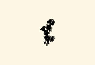 CC1COCCN1C1C[C@@H]2[C@H](C1)[C@H]2n1cc(-c2cnc(N)c(OC(F)(F)F)c2)nc1C1CC1